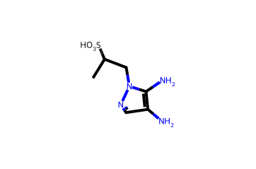 CC(Cn1ncc(N)c1N)S(=O)(=O)O